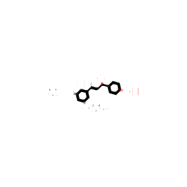 CCCc1c(C=CC(=O)c2ccc(O)cc2)cc(OC)cc1OC